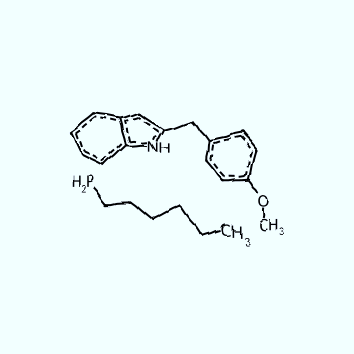 CCCCCCP.COc1ccc(Cc2cc3ccccc3[nH]2)cc1